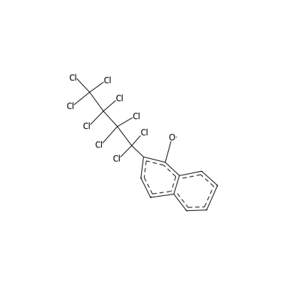 [O]c1c(C(Cl)(Cl)C(Cl)(Cl)C(Cl)(Cl)C(Cl)(Cl)Cl)ccc2ccccc12